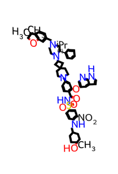 CC(C)c1ccccc1[C@@H]1CN(Cc2ccc3c(c2)OCC3(C)C)CCN1C1CC2(CCN(c3ccc(C(=O)NS(=O)(=O)c4ccc(NCC5CCC(C)(O)CC5)c([N+](=O)[O-])c4)c(Oc4cnc5[nH]ccc5c4)c3)CC2)C1